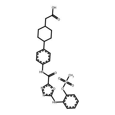 CS(=O)(=O)Oc1ccccc1Nc1nnc(C(=O)Nc2ccc(C3CCC(CC(=O)O)CC3)cc2)o1